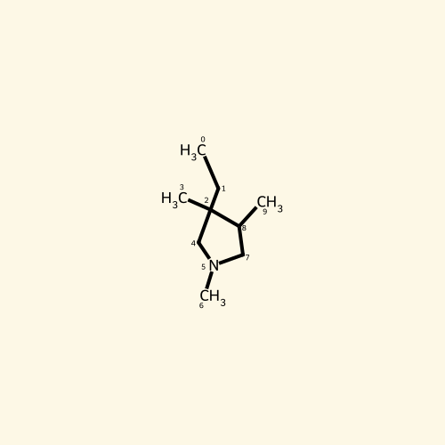 CCC1(C)CN(C)CC1C